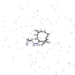 C=c1ccccc(=C)c(C)c(/C=C\C=C/C)cc1